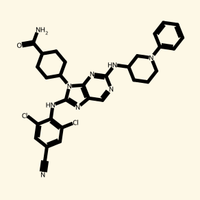 N#Cc1cc(Cl)c(Nc2nc3cnc(NC4CCCN(c5ccccc5)C4)nc3n2C2CCC(C(N)=O)CC2)c(Cl)c1